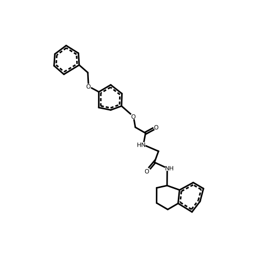 O=C(COc1ccc(OCc2ccccc2)cc1)NCC(=O)NC1CCCc2ccccc21